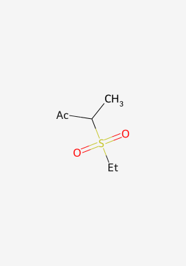 CCS(=O)(=O)C(C)C(C)=O